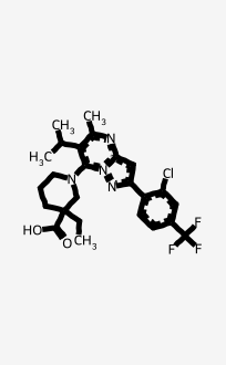 CCC1(C(=O)O)CCCN(c2c(C(C)C)c(C)nc3cc(-c4ccc(C(F)(F)F)cc4Cl)nn23)C1